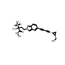 CC(CCn1cc2cc(C#CC#C[C@@H]3C[C@H]3CO)ccc2n1)(C(=O)NO)S(C)(=O)=O